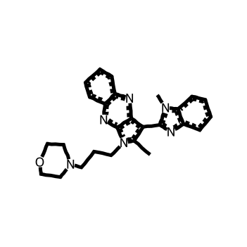 Cc1c(-c2nc3ccccc3n2C)c2nc3ccccc3nc2n1CCCN1CCOCC1